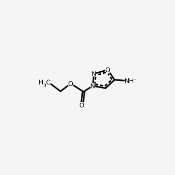 CCOC(=O)[n+]1cc([NH-])on1